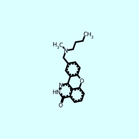 CCCCN(C)Cc1ccc2c(c1)-c1n[nH]c(=O)c3cccc(c13)O2